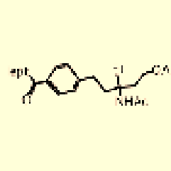 CCCCCCCC(=O)c1ccc(CCC(CC)(CCOC(C)=O)NC(C)=O)cc1